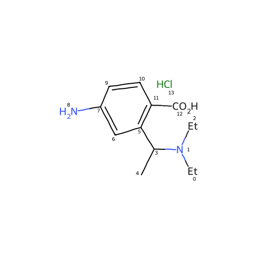 CCN(CC)C(C)c1cc(N)ccc1C(=O)O.Cl